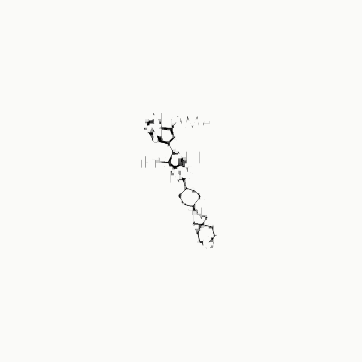 COc1cc(-c2[nH]c3sc(C4CCC(N5CC6(CCOCC6)C5)CC4)nc3c2C(C)C)cn2ncnc12